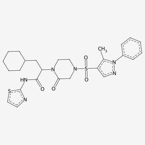 Cc1c(S(=O)(=O)N2CCN(C(CC3CCCCC3)C(=O)Nc3nccs3)C(=O)C2)cnn1-c1ccccc1